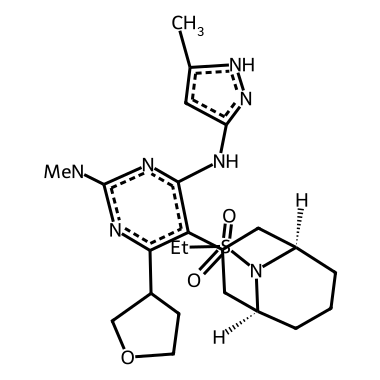 CCS(=O)(=O)N1[C@@H]2CCC[C@H]1CC(c1c(Nc3cc(C)[nH]n3)nc(NC)nc1C1CCOC1)C2